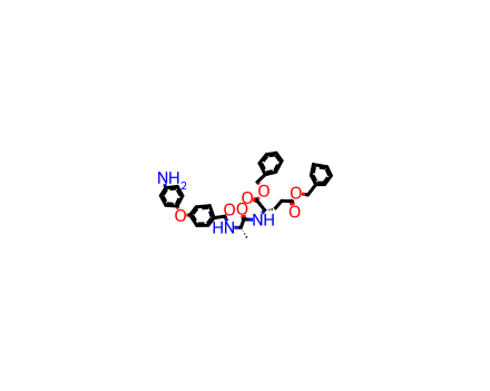 C[C@H](NC(=O)c1ccc(Oc2ccc(N)cc2)cc1)C(=O)N[C@@H](CCC(=O)OCc1ccccc1)C(=O)OCc1ccccc1